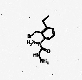 CCc1cccc(N(N)C(=O)NN)c1CBr